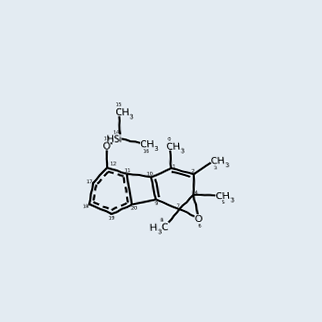 CC1=C(C)C2(C)OC2(C)C2=C1c1c(O[SiH](C)C)cccc12